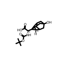 CC(C)(C)OC(=O)N[C@H](C(=O)O)C12CC3(O)CC4CC(C3)[C@H]1C42